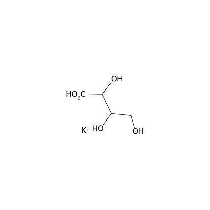 O=C(O)C(O)C(O)CO.[K]